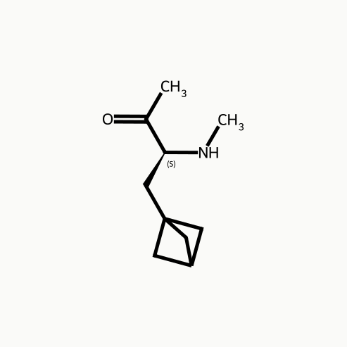 CN[C@@H](CC12CC(C1)C2)C(C)=O